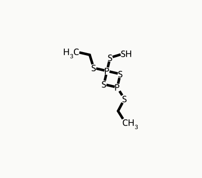 CCSP1S[P](SS)(SCC)S1